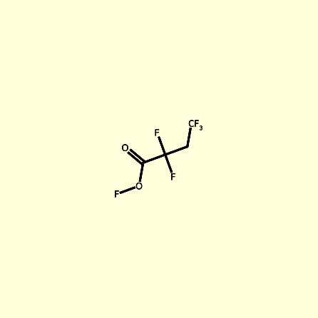 O=C(OF)C(F)(F)CC(F)(F)F